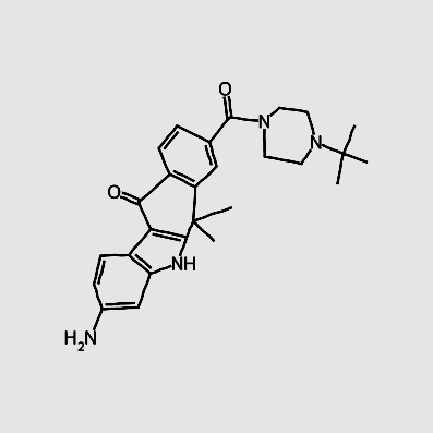 CC1(C)c2cc(C(=O)N3CCN(C(C)(C)C)CC3)ccc2C(=O)c2c1[nH]c1cc(N)ccc21